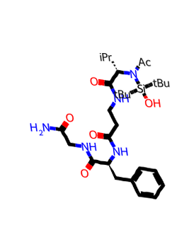 CC(=O)N([C@H](C(=O)NCCC(=O)N[C@@H](Cc1ccccc1)C(=O)NCC(N)=O)C(C)C)[Si](O)(C(C)(C)C)C(C)(C)C